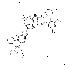 COC(=O)N[C@@H](CCSC)C(=O)N1C2CCCCC2C[C@H]1c1nc(-c2cc3c(-c4c[nH]c([C@@H]5CC6CCCCC6N5C(=O)[C@H](CCSC)NC(=O)OC)n4)cc2CCc2ccc(cc2)[C@H](C)C3)c[nH]1